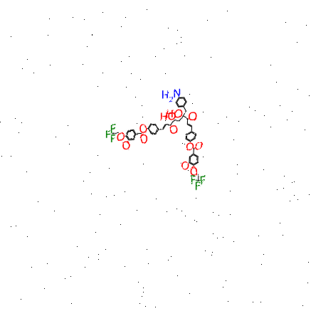 COc1cc(C(=O)Oc2ccc(/C=C/C(=O)C(O)CC(O)(Cc3ccc(N)cc3)C(=O)/C=C/c3ccc(OC(=O)c4ccc(OCC(F)(F)F)c(OC)c4)cc3)cc2)ccc1OCC(F)(F)F